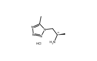 Cc1nnnn1C[C@@H](C)N.Cl